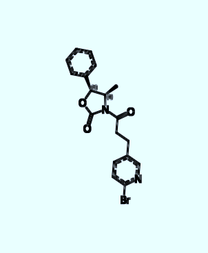 C[C@@H]1[C@H](c2ccccc2)OC(=O)N1C(=O)CCc1ccc(Br)nc1